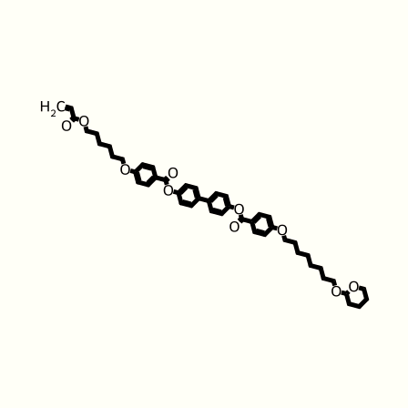 C=CC(=O)OCCCCCCOc1ccc(C(=O)Oc2ccc(-c3ccc(OC(=O)c4ccc(OCCCCCCCCOC5CCCCO5)cc4)cc3)cc2)cc1